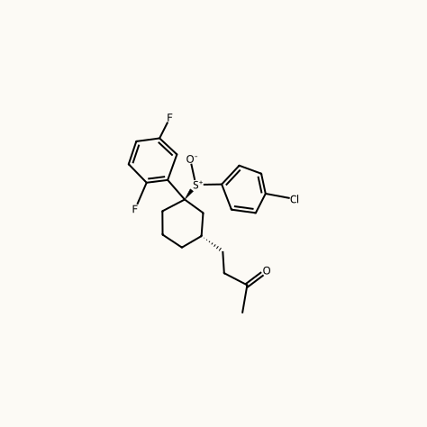 CC(=O)CC[C@@H]1CCC[C@@](c2cc(F)ccc2F)([S+]([O-])c2ccc(Cl)cc2)C1